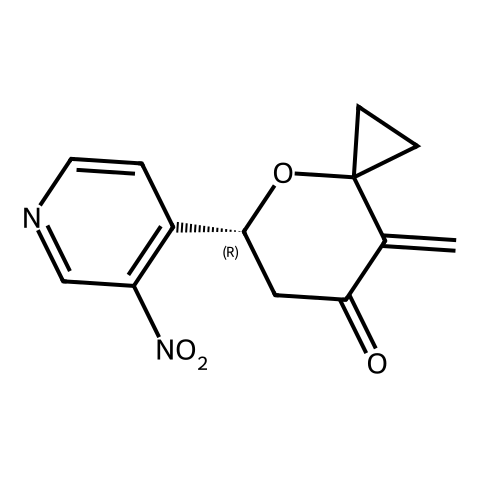 C=C1C(=O)C[C@H](c2ccncc2[N+](=O)[O-])OC12CC2